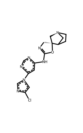 Clc1cn(-c2cc(NC3=NC[C@@]4(C[N@@]5CCC4C5)O3)ncn2)cn1